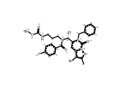 CC[C@H](c1cc2c(Br)c(C)nn2c(=O)n1Cc1ccccc1)N(CCCNC(=O)OC(C)(C)C)C(=O)c1ccc(F)cc1